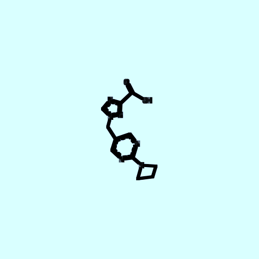 O=C(O)c1ncn(Cc2cnc(N3CCC3)nc2)n1